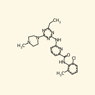 CCc1nc(Nc2cccc(C(=O)Nc3c(C)cccc3Cl)n2)nc(N2CCN(C)CC2)n1